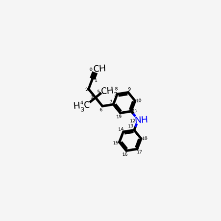 C#CCC(C)(C)Cc1cccc(Nc2ccccc2)c1